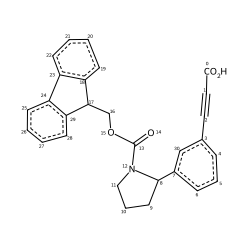 O=C(O)C#Cc1cccc(C2CCCN2C(=O)OCC2c3ccccc3-c3ccccc32)c1